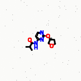 CC(C)C(=O)Nc1ccnc(O[C@H]2CCOC2)n1